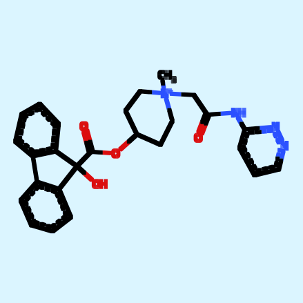 C[N+]1(CC(=O)Nc2cccnn2)CCC(OC(=O)C2(O)c3ccccc3-c3ccccc32)CC1